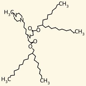 CCCCCCCCCCC(CCCCCCCC)COC(=O)CN(CCCCN1CCN(C)CC1)CC(=O)OCC(CCCCCCCC)CCCCCCCCCC